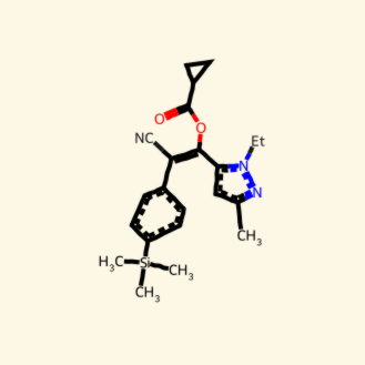 CCn1nc(C)cc1/C(OC(=O)C1CC1)=C(/C#N)c1ccc([Si](C)(C)C)cc1